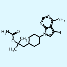 CC(C)(CC1CCC(n2cc(I)c3c(N)ncnc32)CC1)OC(N)=O